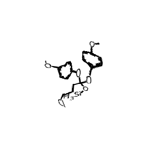 COc1ccc(OC(CCCCl)(O[SiH3])Oc2ccc(OC)cc2)cc1